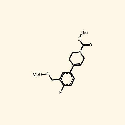 COOCc1cc(C2=CCN(C(=O)OC(C)(C)C)CC2)ccc1F